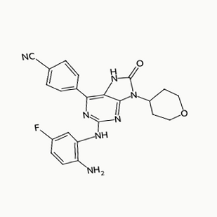 N#Cc1ccc(-c2nc(Nc3cc(F)ccc3N)nc3c2[nH]c(=O)n3C2CCOCC2)cc1